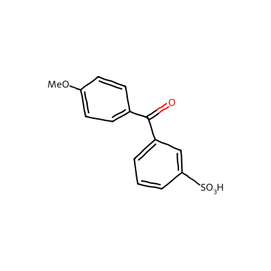 COc1ccc(C(=O)c2cccc(S(=O)(=O)O)c2)cc1